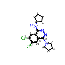 Clc1cc2c(NC3CCCC3)nnc(N3CCCC3)c2cc1Cl